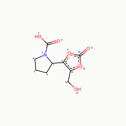 O=C(O)N1CCCC1c1oc(=O)oc1CO